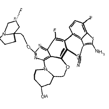 N#Cc1c(N)sc2c(F)ccc(-c3c(Cl)c4c5c(nc(OCC67CCCN6C[C@H](F)C7)nc5c3F)N3CCC(O)CC3CO4)c12